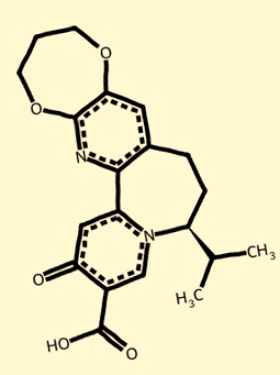 CC(C)[C@@H]1CCc2cc3c(nc2-c2cc(=O)c(C(=O)O)cn21)OCCCO3